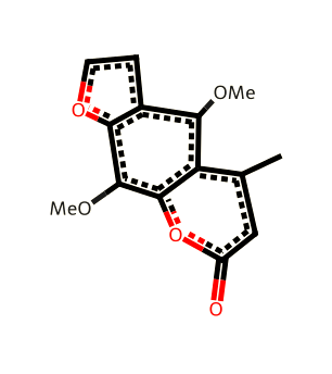 COc1c2occc2c(OC)c2c(C)cc(=O)oc12